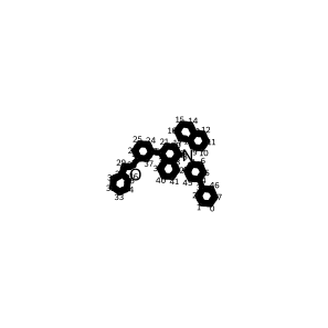 c1ccc(-c2ccc(N(c3cccc4ccccc34)c3ccc(-c4cccc(-c5cc6ccccc6o5)c4)c4ccccc34)cc2)cc1